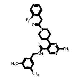 Cc1cc(C)cc(CNC(=O)c2cnc(C)nc2C2CCN(C(=O)Cc3ccccc3C(F)(F)F)CC2)c1